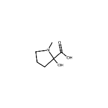 CN1CCCC1(O)C(=O)O